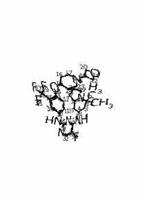 CC1(C)C[C@H](Nc2nc(Nc3ccc(OC4CCN(C5COC5)CC4)c(C(F)(F)F)c3)ncc2F)CC2CCCN21